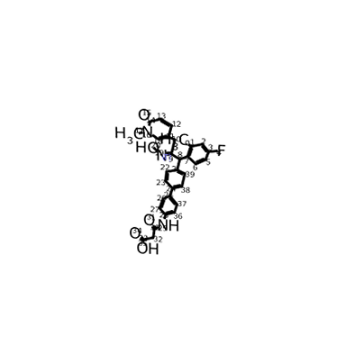 Cc1cc(F)ccc1C(/C(Cc1ccc(=O)n(C)c1)=N/O)c1ccc(-c2ccc(NC(=O)CC(=O)O)cc2)cc1